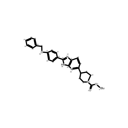 CC(C)(C)OC(=O)N1CCC(c2ccc3nc(-c4ccc(OCc5ccccc5)cc4)[nH]c3n2)CC1